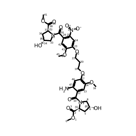 COC(=O)[C@@H]1C[C@@H](O)CN1C(=O)c1cc(OC)c(OCCCOc2cc([N+](=O)[O-])c(C(=O)N3C[C@H](O)C[C@H]3C(=O)OC)cc2OC)cc1N